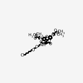 CN(C)C(=O)C1CN(c2ccc3c(c2)Oc2cc(N4CC(C(=O)N(C)C)C4)ccc2C32OC(=O)c3ccc(C(=O)NCCOCCOCCCCCCCl)cc32)C1